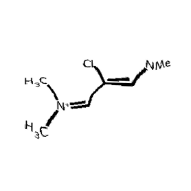 CN/C=C(\Cl)C=[N+](C)C